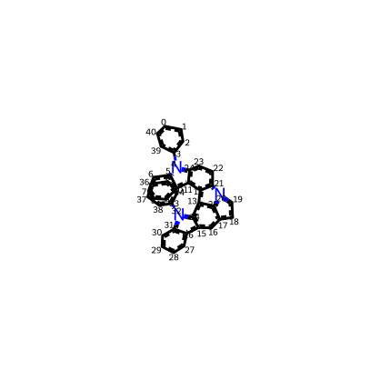 c1ccc(-n2c3ccccc3c3c4c5c6c(cc7ccn(c4ccc32)c75)c2ccccc2n6-c2ccccc2)cc1